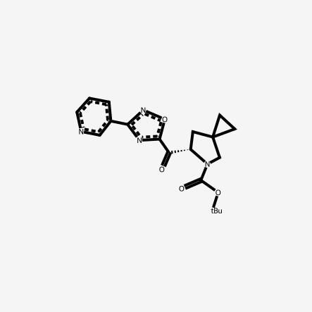 CC(C)(C)OC(=O)N1CC2(CC2)C[C@H]1C(=O)c1nc(-c2cccnc2)no1